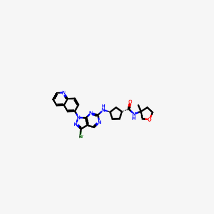 CC1(NC(=O)[C@@H]2CC[C@@H](Nc3ncc4c(Br)nn(-c5ccc6ncccc6c5)c4n3)C2)CCOC1